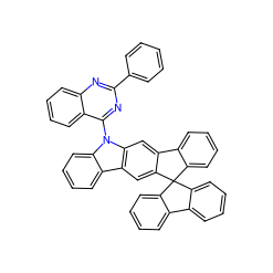 c1ccc(-c2nc(-n3c4ccccc4c4cc5c(cc43)-c3ccccc3C53c4ccccc4-c4ccccc43)c3ccccc3n2)cc1